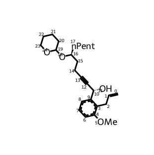 C=CCc1c(OC)cccc1[C@@H](O)C#CCC[C@H](CCCCC)OC1CCCCO1